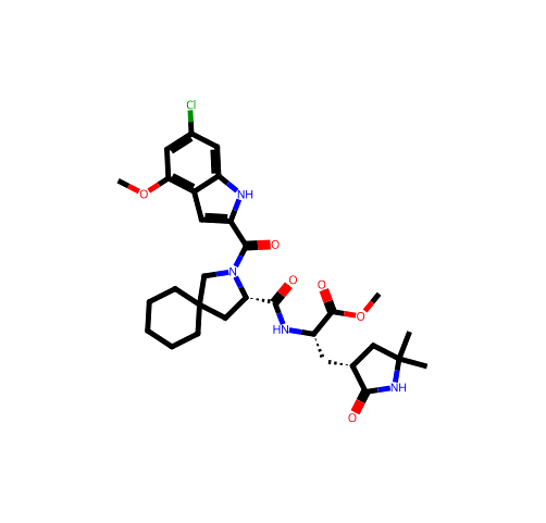 COC(=O)[C@H](C[C@@H]1CC(C)(C)NC1=O)NC(=O)[C@@H]1CC2(CCCCC2)CN1C(=O)c1cc2c(OC)cc(Cl)cc2[nH]1